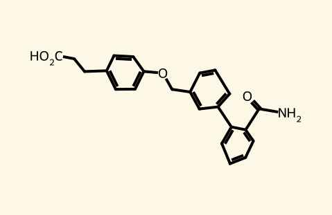 NC(=O)c1ccccc1-c1cccc(COc2ccc(CCC(=O)O)cc2)c1